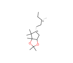 CC[C@H](C)CC[C@@H]1CC2OC(C)(C)OC2(C)C1(C)C